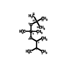 CC(C)C(C)O[Si](C)(C)O[Si](C)(C)C